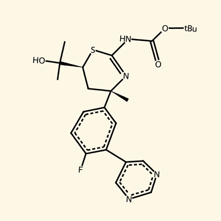 CC(C)(C)OC(=O)NC1=N[C@](C)(c2ccc(F)c(-c3cncnc3)c2)C[C@@H](C(C)(C)O)S1